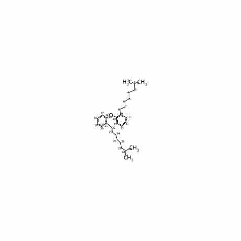 CC(C)CCCCCCc1ccccc1Oc1ccccc1CCCCCCC(C)C